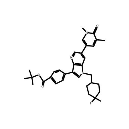 Cc1cc(-c2cnc3c(-c4ccc(C(=O)OC(C)(C)C)cc4)cn(CC4CCC(F)(F)CC4)c3c2)cn(C)c1=O